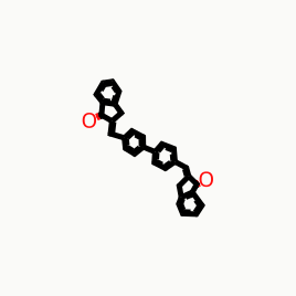 O=C1/C(=C/c2ccc(-c3ccc(/C=C4\Cc5ccccc5C4=O)cc3)cc2)Cc2ccccc21